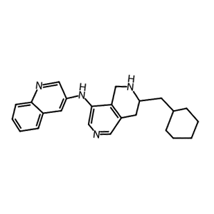 c1ccc2ncc(Nc3cncc4c3CNC(CC3CCCCC3)C4)cc2c1